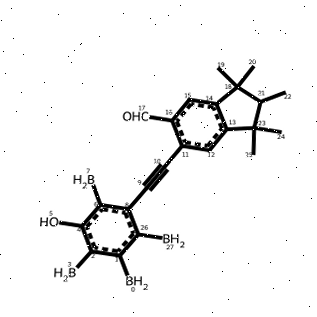 Bc1c(B)c(O)c(B)c(C#Cc2cc3c(cc2C=O)C(C)(C)C(C)C3(C)C)c1B